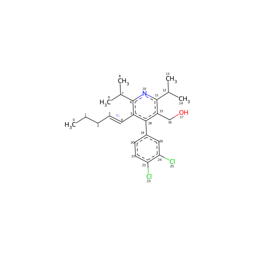 CCC/C=C/c1c(C(C)C)nc(C(C)C)c(CO)c1-c1ccc(Cl)c(Cl)c1